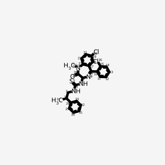 CC(CNC(=S)NC1N=C(c2ccccc2Cl)c2cc(Cl)ccc2N(C)C1=O)c1ccccc1